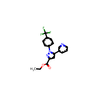 CCOC(=O)c1cc(-c2cccnc2)n(-c2ccc(C(F)(F)F)cc2)n1